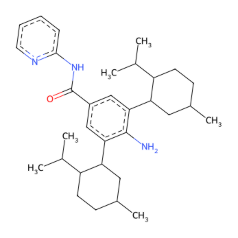 CC1CCC(C(C)C)C(c2cc(C(=O)Nc3ccccn3)cc(C3CC(C)CCC3C(C)C)c2N)C1